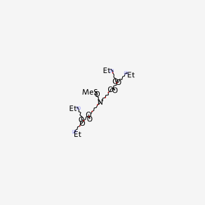 CC/C=C\CCCCOC(CCC(=O)OCCCCCCCN(CCCCCCCOC(=O)CCC(OCCCC/C=C\CC)OCCCC/C=C\CC)CCCOSC)OCCCC/C=C\CC